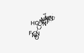 Cn1c(F)cc(-c2ccc(-c3ncc(N(C4CC4)[C@@H]4C[C@@]5(C)CC[C@](C)(N5)[C@@H]4F)nn3)c(O)c2)nc1=O